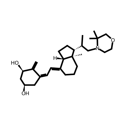 C=C1C(=CC=C2CCC[C@]3(C)[C@@H](C(C)CN4CCOCC4(C)C)CC[C@@H]23)C[C@@H](O)C[C@H]1O